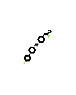 N#CC(F)=C[C@H]1CC[C@H](/C=C/[C@H]2CC[C@H](c3ccc(F)cc3)CC2)CC1